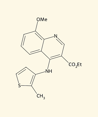 CCOC(=O)c1cnc2c(OC)cccc2c1Nc1ccsc1C